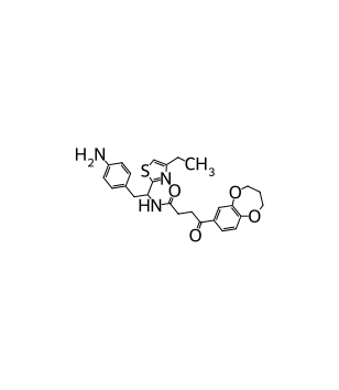 CCc1csc(C(Cc2ccc(N)cc2)NC(=O)CCC(=O)c2ccc3c(c2)OCCCO3)n1